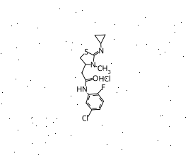 CN1C(=NC2CC2)SCC1CC(=O)Nc1cc(Cl)ccc1F.Cl